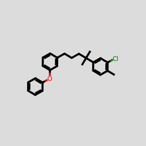 Cc1ccc(C(C)(C)CCCc2cccc(Oc3ccccc3)c2)cc1Cl